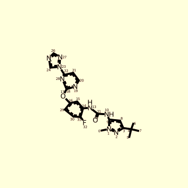 Cn1nc(C(C)(C)C)cc1NC(=O)Nc1cc(Oc2nccc(-n3cncn3)n2)ccc1F